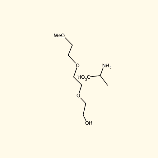 CC(N)C(=O)O.COCCOCCOCCO